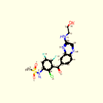 CCCS(=O)(=O)Nc1cc(F)c(F)c(C(=O)c2ccc3ncc(NCCO)nc3c2)c1Cl